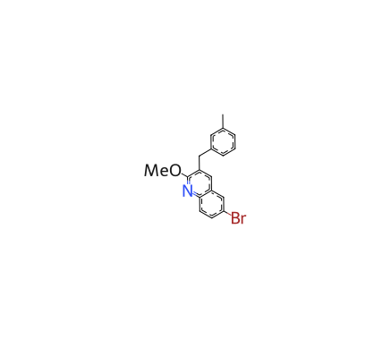 COc1nc2ccc(Br)cc2cc1Cc1cccc(C)c1